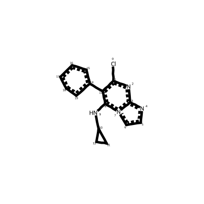 Clc1nc2nccn2c(NC2CC2)c1-c1ccccc1